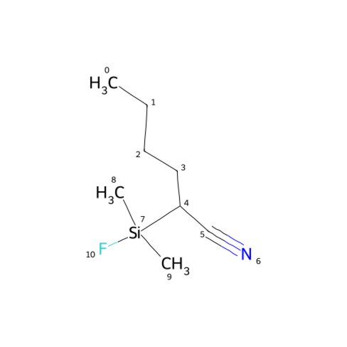 CCCCC(C#N)[Si](C)(C)F